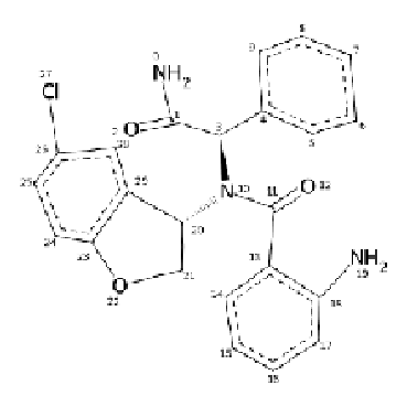 NC(=O)[C@@H](c1ccccc1)N(C(=O)c1ccccc1N)[C@@H]1COc2ccc(Cl)cc21